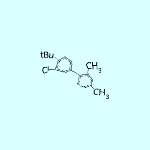 Cc1ccc(-c2ccc(C(C)(C)C)c(Cl)c2)c(C)c1